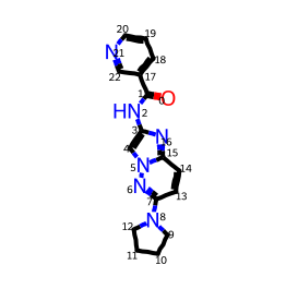 O=C(Nc1cn2nc(N3CCCC3)ccc2n1)c1cccnc1